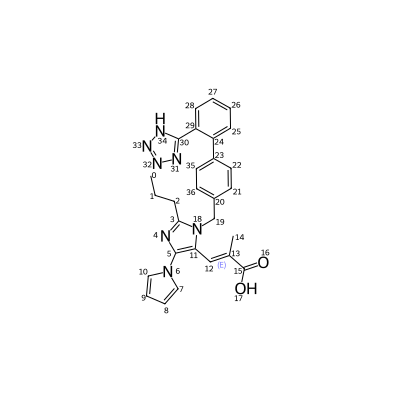 CCCc1nc(-n2cccc2)c(/C=C(\C)C(=O)O)n1Cc1ccc(-c2ccccc2-c2nnn[nH]2)cc1